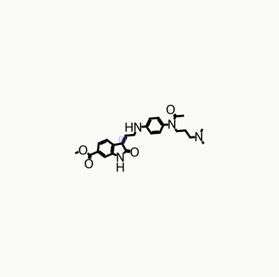 COC(=O)c1ccc2c(c1)NC(=O)/C2=C\CNc1ccc(N(CCCN(C)C)C(C)=O)cc1